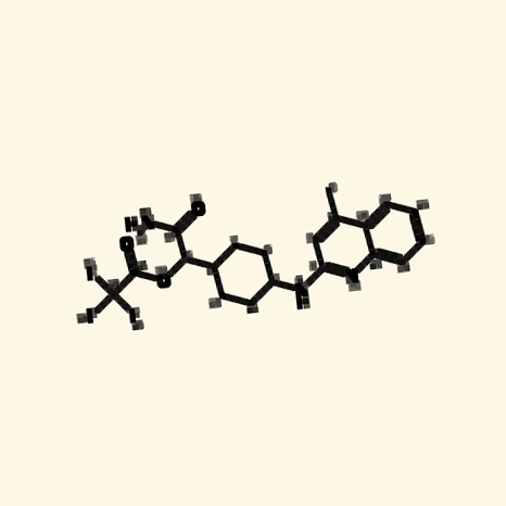 Cc1cc(NC2CCC(C(OC(=O)C(F)(F)F)C(N)=O)CC2)nc2ccccc12